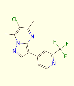 Cc1nc2c(-c3ccnc(C(F)(F)F)c3)cnn2c(C)c1Cl